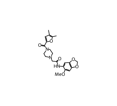 COc1cc2c(cc1NC(=O)CN1CCN(C(=O)c3cc(C)c(C)o3)CC1)OCO2